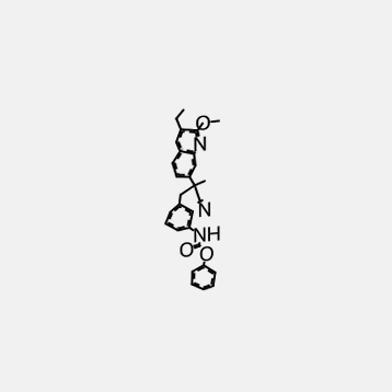 CCc1cc2ccc(C(C)(C#N)Cc3cccc(NC(=O)Oc4ccccc4)c3)cc2nc1OC